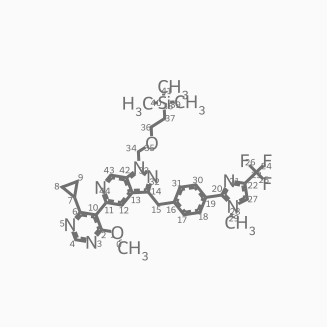 COc1ncnc(C2CC2)c1-c1cc2c(Cc3ccc(-c4nc(C(F)(F)F)cn4C)cc3)nn(COCC[Si](C)(C)C)c2cn1